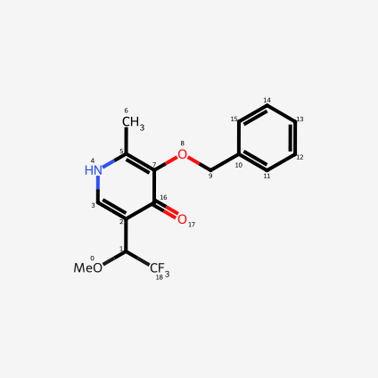 COC(c1c[nH]c(C)c(OCc2ccccc2)c1=O)C(F)(F)F